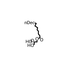 CCCCCCCCCCCCCCCCCC(=O)OCC(CO)OO